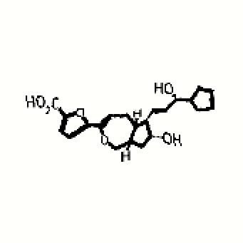 O=C(O)c1ccc(C2=CC[C@H]3[C@@H](CO2)C[C@@H](O)[C@@H]3/C=C/[C@@H](O)C2CCCC2)o1